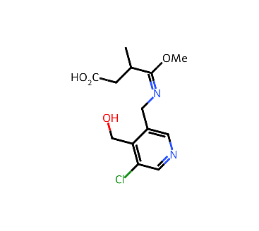 COC(=NCc1cncc(Cl)c1CO)C(C)CC(=O)O